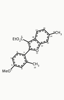 CCOC(=O)c1c(-c2ccc(OC)cc2C)oc2cc(C)ccc12